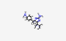 C/C=C(C)\C(=C/C)C1=NC(N(C)C)=N/C1=C(/C=O)c1ccc(N(C)C)cc1